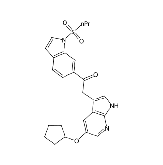 CCCS(=O)(=O)n1ccc2ccc(C(=O)Cc3c[nH]c4ncc(OC5CCCC5)cc34)cc21